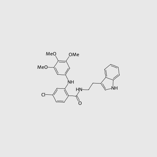 COc1cc(Nc2cc(Cl)ccc2C(=O)NCCc2c[nH]c3ccccc23)cc(OC)c1OC